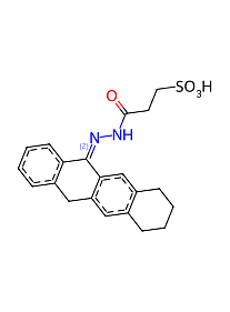 O=C(CCS(=O)(=O)O)N/N=C1/c2ccccc2Cc2cc3c(cc21)CCCC3